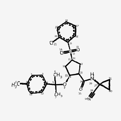 Cc1ccc(C(C)(C)O[C@H]2C[C@@H](S(=O)(=O)c3ccccc3Cl)CC2C(=O)NC2(C#N)CC2)cc1